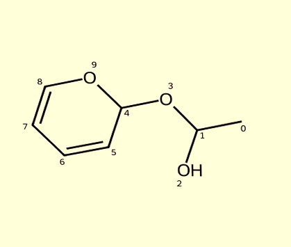 CC(O)OC1C=CC=CO1